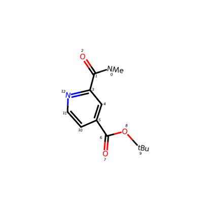 CNC(=O)c1cc(C(=O)OC(C)(C)C)ccn1